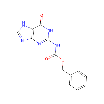 O=C(Nc1nc2nc[nH]c2c(=O)[nH]1)OCc1ccccc1